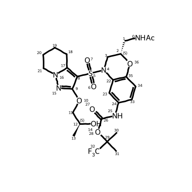 CC(=O)NC[C@H]1CN(S(=O)(=O)c2c(OC[C@H](C)O)nn3c2CCCC3)c2cc(NC(=O)OC(C)(C)C(F)(F)F)ccc2O1